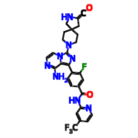 Nc1nccn2c(N3CCC4(CC3)CNC(=C=O)C4)nc(-c3ccc(C(=O)Nc4cc(C(F)(F)F)ccn4)cc3F)c12